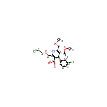 COCC1=C(C(=O)OC)C(c2cccc(Cl)c2)C(C(=O)O)=C(COCCCl)N1